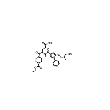 CCOC(=O)N1CCN(C(=O)C(CCC(=O)O)NC(=O)c2cc(OCC(C)CO)n(-c3ccccc3)n2)CC1